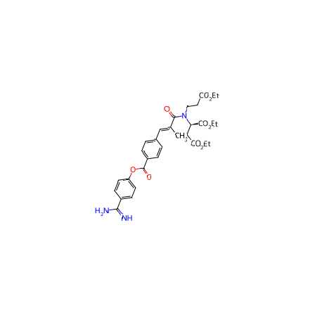 CCOC(=O)CCN(C(=O)/C(C)=C/c1ccc(C(=O)Oc2ccc(C(=N)N)cc2)cc1)[C@H](CC(=O)OCC)C(=O)OCC